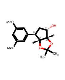 COc1cc(OC)cc([C@H]2C[C@H](O)[C@@H]3OC(C)(C)O[C@@H]32)c1